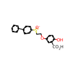 O=C(O)c1cc(OCC[S+]([O-])c2ccc(-c3ccccc3)cc2)ccc1O